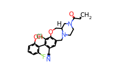 C=CC(=O)N1CCN2Cc3cc(C#N)c(-c4c(O)cccc4F)c(Cl)c3OC[C@H]2C1